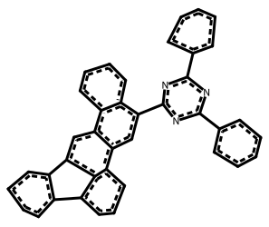 c1ccc(-c2nc(-c3ccccc3)nc(-c3cc4c5cccc6c5c(cc4c4ccccc34)-c3ccccc3-6)n2)cc1